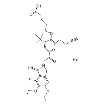 Br.CCOc1cc2c(c(F)c1OCC)C(=N)N(CC(=O)c1cc(CCC#N)c(OCCCCC(=O)O)c(C(C)(C)C)c1)C2